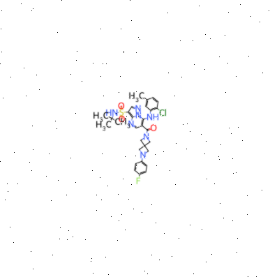 Cc1ccc(Cl)c(Nc2c(C(=O)N3CC4(C3)CN(c3ccc(F)cc3)C4)cnc3c(S(=O)(=O)NC(C)(C)C)cnn23)c1